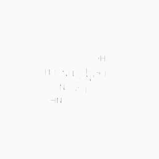 CNC(=N/C=N)/C(C)=C/N[C@H](C)CO